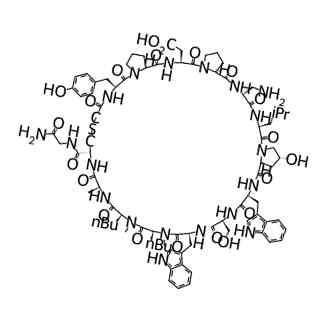 CCCC[C@H]1C(=O)N(C)[C@@H](CCCC)C(=O)N[C@@H](C)C(=O)N[C@H](C(=O)NCC(N)=O)CSCC(=O)N[C@@H](Cc2ccc(O)cc2)C(=O)N2CCC[C@H]2C(=O)N[C@@H](CC(=O)O)C(=O)N2CCC[C@H]2C(=O)N[C@@H](CN)C(=O)N[C@@H](CC(C)C)C(=O)N2C[C@H](O)C[C@H]2C(=O)N[C@@H](Cc2c[nH]c3ccccc23)C(=O)N[C@@H](CO)C(=O)N[C@@H](Cc2c[nH]c3ccccc23)C(=O)N1C